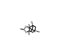 CB1O[C@@]2(C)C[C@H]3C[C@H](C3(C)C)[C@@]2(C)O1